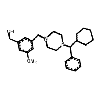 COc1cc(CO)cc(CN2CCN(C(c3ccccc3)C3CCCCC3)CC2)c1